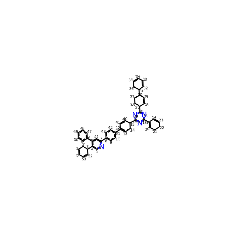 C1=CCC(c2cnc(-c3ccc(C4=CCC(c5nc(C6=CCCC=C6)nc(C6C=CC(C7C=CC=CC7)CC6)n5)C=C4)cc3)cc2-c2ccccc2)C=C1